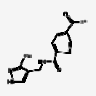 CCCC(=O)c1ccc(C(=O)NCc2c[nH]nc2C(C)(C)C)cc1